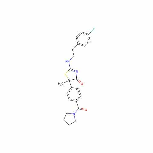 CC1(c2ccc(C(=O)N3CCCC3)cc2)SC(NCCc2ccc(F)cc2)=NC1=O